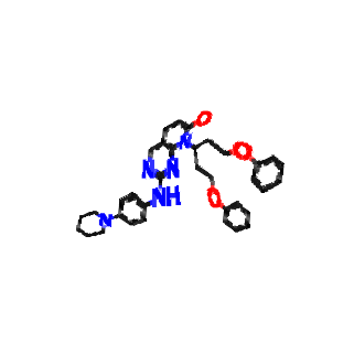 O=c1ccc2cnc(Nc3ccc(N4CCCCC4)cc3)nc2n1C(CCOc1ccccc1)CCOc1ccccc1